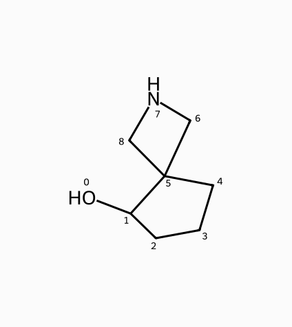 OC1CCCC12CNC2